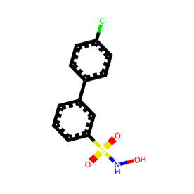 O=S(=O)(NO)c1cccc(-c2ccc(Cl)cc2)c1